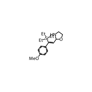 CC[Si](CC)(CC)C(=CC1NCCO1)c1ccc(OC)cc1